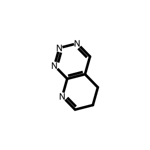 C1=Nc2nnncc2CC1